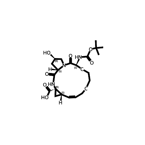 CC(C)(C)OC(=O)N[C@H]1CCCCCC=C[C@@H]2C[C@@]2(C(=O)O)NC(=O)[C@@H]2C[C@@H](O)CN2C1=O